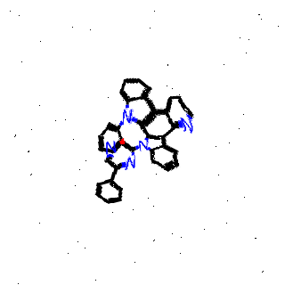 c1ccc(-c2cncc(-n3c4ccccc4c4c5ncccc5c5c6ccccc6n(-c6ccccc6)c5c43)n2)cc1